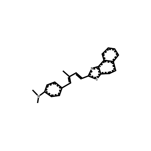 CC(C=Cc1nc2c(ccc3ccccc32)s1)=Cc1ccc(N(C)C)cc1